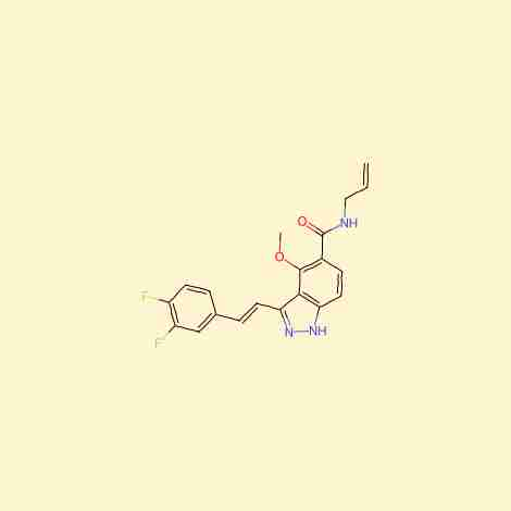 C=CCNC(=O)c1ccc2[nH]nc(C=Cc3ccc(F)c(F)c3)c2c1OC